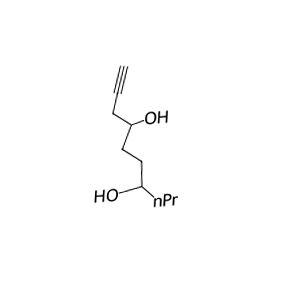 C#CCC(O)CCC(O)CCC